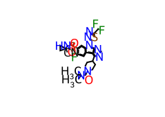 CN(C)C(=O)N1CCC(c2ncnc3c2c2cc(F)c(S(=O)(=O)NC4(C#N)CC4)cc2n3-c2nnc(C(F)F)s2)CC1